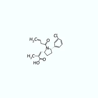 C=CCC(=O)N1[C@@H](C=C(C)C(=O)O)CC[C@H]1c1cccc(Cl)c1